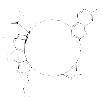 COC(=O)c1c(C)c2c3c(Cl)ccc2n1CCCOc1cc(cc2cc(F)ccc12)CCc1cc(nn1C)CSCc1c-3c(C)nn1CCO